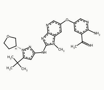 CC(=N)c1cc(Oc2cnc3nc(Nc4cc(C(C)(C)C)n([C@@H]5CCOC5)n4)n(C)c3c2)cnc1N